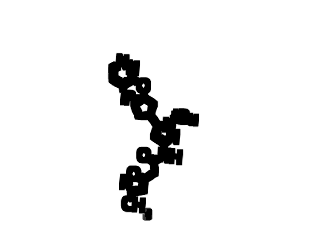 Cc1cc(CC(=O)Nc2cc(C3CCC(Oc4nnccc4C(C)C)C3)n(C(C)(C)C)n2)on1